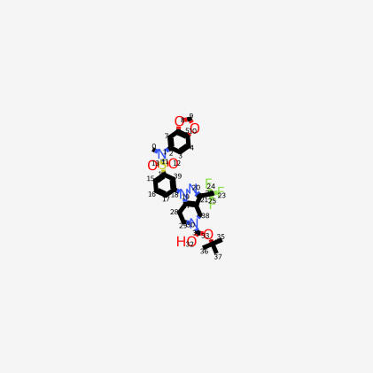 CN(c1ccc2c(c1)OCO2)S(=O)(=O)c1cccc(-n2nc(C(F)(F)F)c3c2CCN(C(O)OC(C)(C)C)C3)c1